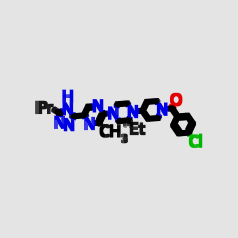 CC[C@H]1CN(c2ncc(-c3nnc(C(C)C)[nH]3)nc2C)CCN1C1CCN(C(=O)c2ccc(Cl)cc2)CC1